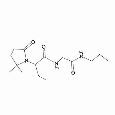 CCCNC(=O)CNC(=O)C(CC)N1C(=O)CCC1(C)C